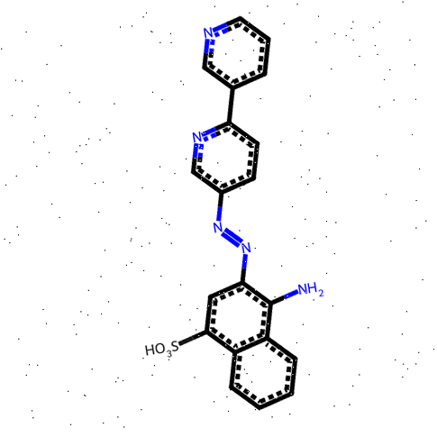 Nc1c(N=Nc2ccc(-c3cccnc3)nc2)cc(S(=O)(=O)O)c2ccccc12